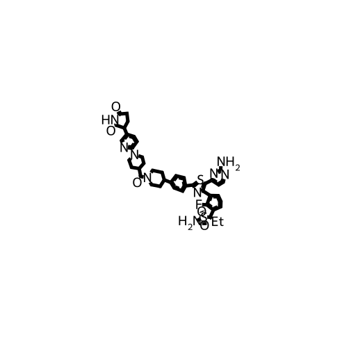 CCC(c1cccc(-c2nc(-c3ccc(C4CCN(C(=O)C5CCN(c6ccc(C7CCC(=O)NC7=O)cn6)CC5)CC4)cc3)sc2-c2ccnc(N)n2)c1F)S(N)(=O)=O